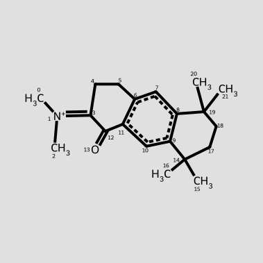 C[N+](C)=C1CCc2cc3c(cc2C1=O)C(C)(C)CCC3(C)C